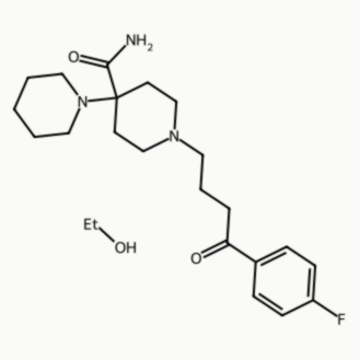 CCO.NC(=O)C1(N2CCCCC2)CCN(CCCC(=O)c2ccc(F)cc2)CC1